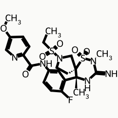 CCS(=O)(=O)N1CC[C@@]2(C1)[C@@](C)(c1cc(NC(=O)c3ccc(OC)cn3)ccc1F)NC(=N)N(C)S2(=O)=O